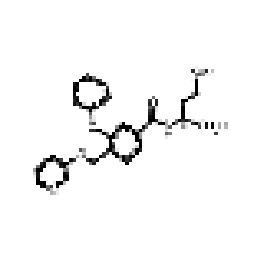 CSCC[C@H](NC(=O)c1ccc(COc2cccnc2)c(Oc2ccccc2)c1)C(=O)O